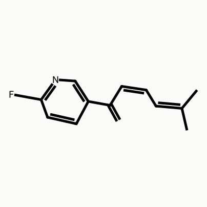 C=C(/C=C\C=C(C)C)c1ccc(F)nc1